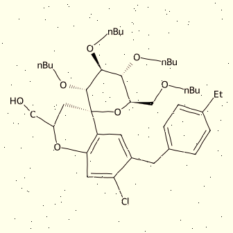 CCCCOC[C@H]1O[C@]2(CC(CO)Oc3cc(Cl)c(Cc4ccc(CC)cc4)cc32)[C@H](OCCCC)[C@@H](OCCCC)[C@@H]1OCCCC